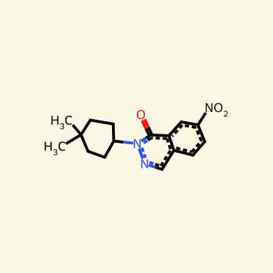 CC1(C)CCC(n2ncc3ccc([N+](=O)[O-])cc3c2=O)CC1